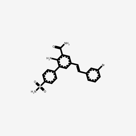 NC(=O)c1cc(C=Cc2cccc(Br)c2)cc(-c2ccc(S(N)(=O)=O)cc2)c1N